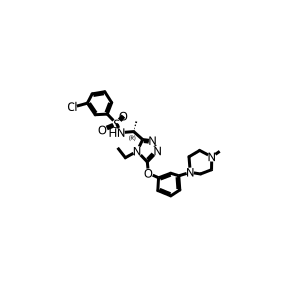 CCn1c(Oc2cccc(N3CCN(C)CC3)c2)nnc1[C@@H](C)NS(=O)(=O)c1cccc(Cl)c1